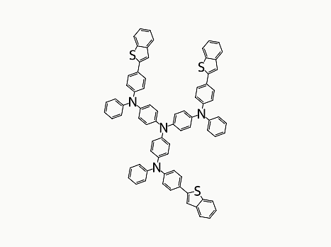 c1ccc(N(c2ccc(-c3cc4ccccc4s3)cc2)c2ccc(N(c3ccc(N(c4ccccc4)c4ccc(-c5cc6ccccc6s5)cc4)cc3)c3ccc(N(c4ccccc4)c4ccc(-c5cc6ccccc6s5)cc4)cc3)cc2)cc1